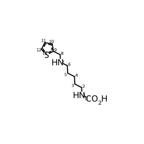 O=C(O)NCCCCCNCc1cccs1